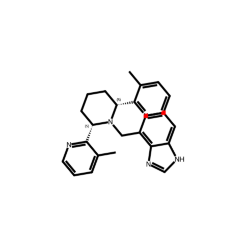 Cc1cccnc1[C@H]1CCC[C@@H](c2ncccc2C)N1Cc1cccc2[nH]cnc12